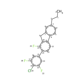 CCCc1ccc2c(c1)Cc1c-2ccc(-c2cc(F)c(Cl)c(F)c2)c1F